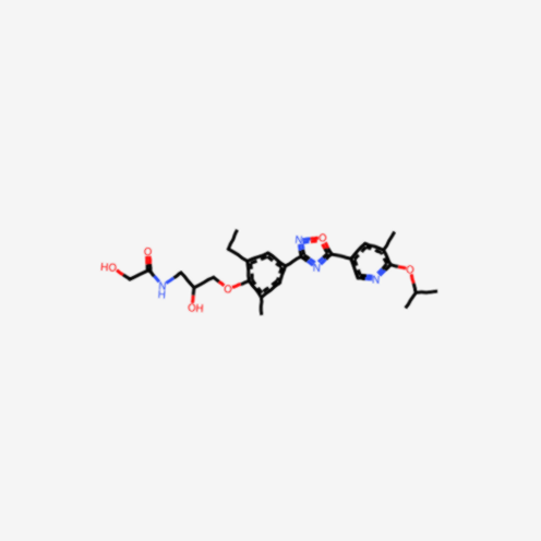 CCc1cc(-c2noc(-c3cnc(OC(C)C)c(C)c3)n2)cc(C)c1OCC(O)CNC(=O)CO